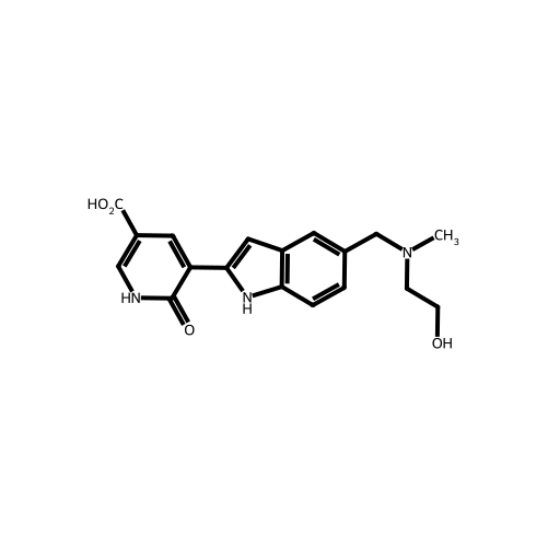 CN(CCO)Cc1ccc2[nH]c(-c3cc(C(=O)O)c[nH]c3=O)cc2c1